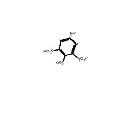 O=C(O)c1cccc(S(=O)(=O)O)c1C(=O)[O-].[Na+]